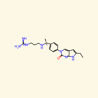 CCc1cc2cn(-c3ccc([C@H](C)NCCCNC(=N)N)cc3)c(=O)nc2[nH]1